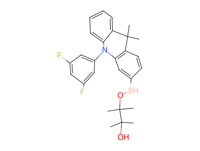 CC1(C)c2ccccc2N(c2cc(F)cc(F)c2)c2cc(BOC(C)(C)C(C)(C)O)ccc21